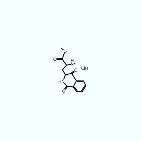 COC(=O)C(N)CC1NC(=O)c2ccccc2C1=O.Cl